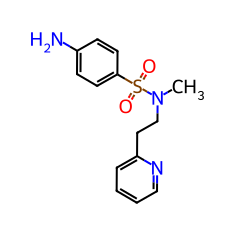 CN(CCc1ccccn1)S(=O)(=O)c1ccc(N)cc1